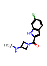 O=C(O)NC1CN(C(=O)c2cc3ccc(Br)cc3[nH]2)C1